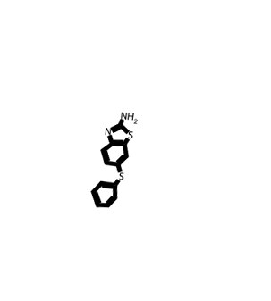 Nc1nc2ccc(Sc3ccccc3)cc2s1